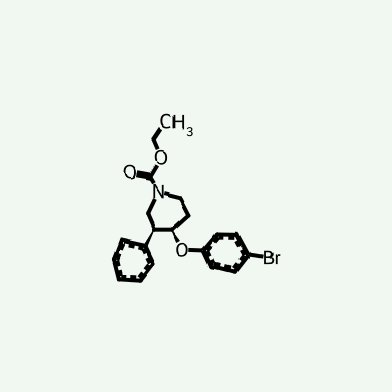 CCOC(=O)N1CC[C@@H](Oc2ccc(Br)cc2)[C@@H](c2ccccc2)C1